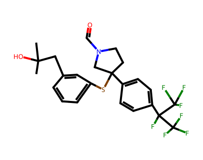 CC(C)(O)Cc1cccc(SC2(c3ccc(C(F)(C(F)(F)F)C(F)(F)F)cc3)CCN(C=O)C2)c1